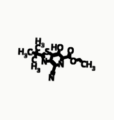 CCOC(=O)c1nc(C#N)c2nc(C(C)(C)C)sc2c1O